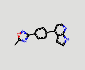 Cc1nc(-c2ccc(-c3ccnc4[nH]ccc34)cc2)no1